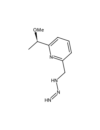 CO[C@H](C)c1cccc(CNN=N)n1